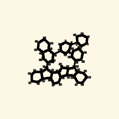 c1ccc(-c2ccc(-c3nc(-n4c5ccccc5c5ccc6c(sc7c6c6ccccc6n7-c6ccccc6)c54)nc4ccccc34)cc2)cc1